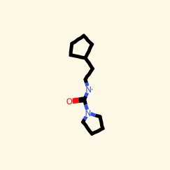 O=C([N]CCC1CCCC1)N1CCCC1